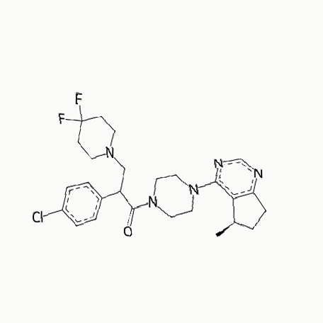 C[C@@H]1CCc2ncnc(N3CCN(C(=O)C(CN4CCC(F)(F)CC4)c4ccc(Cl)cc4)CC3)c21